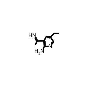 CCc1cnc(N)c(C(=N)I)c1